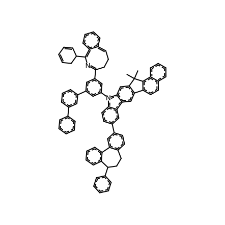 CC1(C)c2cc3c(cc2-c2ccc4ccccc4c21)c1cc(-c2ccc4c(c2)-c2ccccc2C(c2ccccc2)CC4)ccc1n3-c1cc(/C2=N/C(C3C=CC=CC3)=c3/cccc/c3=C/CC2)cc(-c2cccc(-c3ccccc3)c2)c1